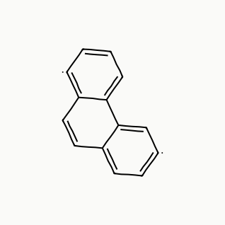 [c]1ccc2ccc3[c]cccc3c2c1